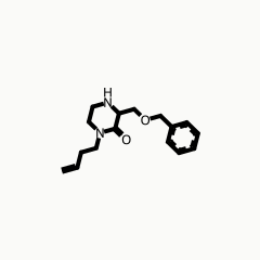 C=CCCN1CCNC(COCc2ccccc2)C1=O